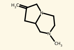 C=C1CC2CN(C)CCN2C1